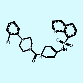 CCc1ccccc1N1CCN(C(=O)[C@@H]2C=CC(NS(=O)(=O)c3cccc4cccnc34)=CC2)CC1